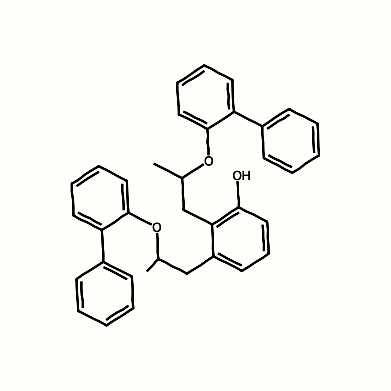 CC(Cc1cccc(O)c1CC(C)Oc1ccccc1-c1ccccc1)Oc1ccccc1-c1ccccc1